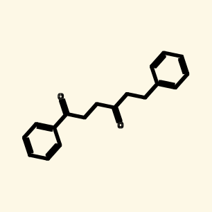 O=C(CCC(=O)c1ccccc1)CCc1ccccc1